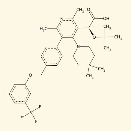 Cc1nc(C)c([C@H](OC(C)(C)C)C(=O)O)c(N2CCC(C)(C)CC2)c1-c1ccc(COc2cccc(C(F)(F)F)c2)cc1